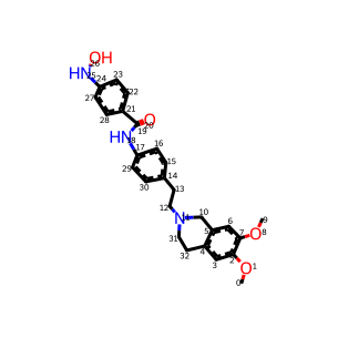 COc1cc2c(cc1OC)CN(CCc1ccc(NC(=O)c3[c]cc(NO)cc3)cc1)CC2